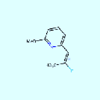 COc1cccc(/C=C(/F)C(=O)O)n1